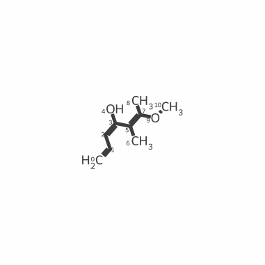 C=C/C=C(O)\C(C)=C(/C)OC